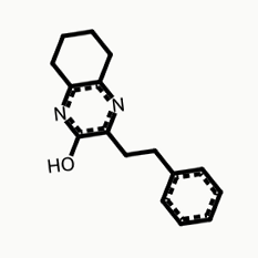 Oc1nc2c(nc1CCc1ccccc1)CCCC2